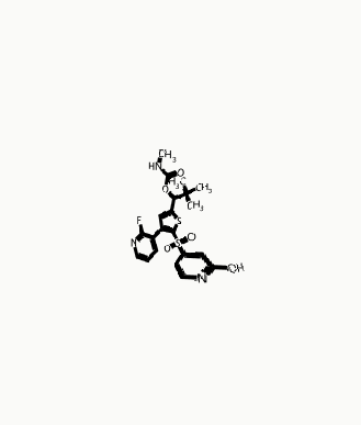 CNC(=O)OC(c1cc(-c2cccnc2F)c(S(=O)(=O)c2ccnc(O)c2)s1)C(C)(C)C